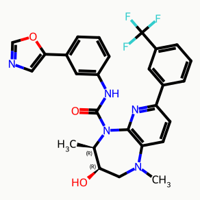 C[C@@H]1[C@H](O)CN(C)c2ccc(-c3cccc(C(F)(F)F)c3)nc2N1C(=O)Nc1cccc(-c2cnco2)c1